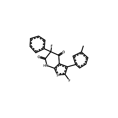 Cc1cccc(-c2c(F)sc3c2C(=O)C(F)(c2ccccc2)C(=O)N3)c1